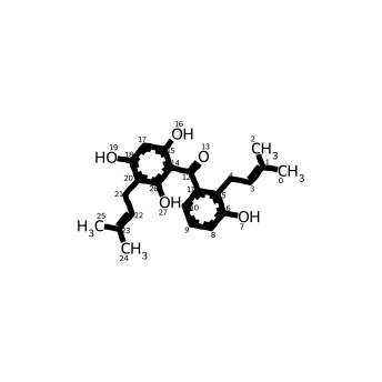 CC(C)=CCc1c(O)cccc1C(=O)c1c(O)cc(O)c(CC=C(C)C)c1O